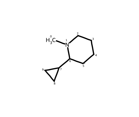 CN1CCC[CH]C1C1CC1